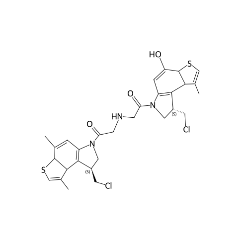 CC1=CC2=C(C3C(C)=CSC13)[C@H](CCl)CN2C(=O)CNCC(=O)N1C[C@@H](CCl)C2=C1C=C(O)C1SC=C(C)C21